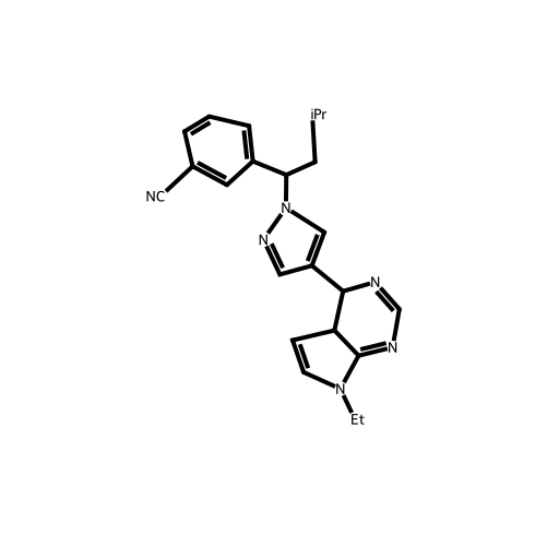 CCN1C=CC2C1=NC=NC2c1cnn(C(CC(C)C)c2cccc(C#N)c2)c1